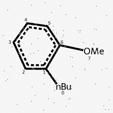 [CH2]CCCc1ccccc1OC